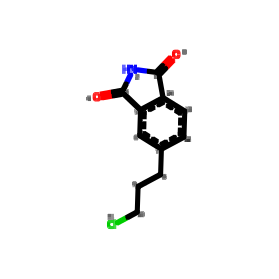 O=C1NC(=O)c2cc(CCCCl)ccc21